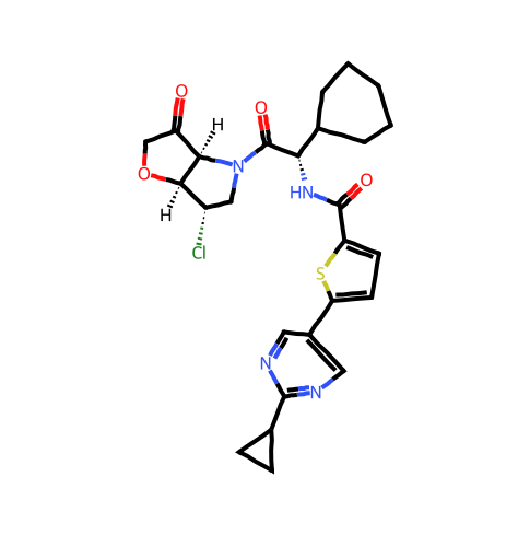 O=C(N[C@H](C(=O)N1C[C@H](Cl)[C@H]2OCC(=O)[C@H]21)C1CCCCC1)c1ccc(-c2cnc(C3CC3)nc2)s1